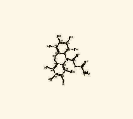 NC(=S)CC(=S)N(c1c(F)c(F)c(F)c(F)c1F)c1c(F)c(F)c(F)c(F)c1F